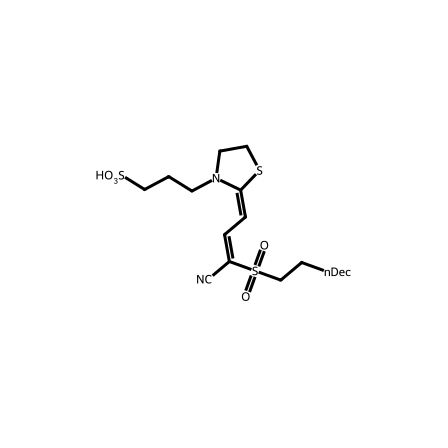 CCCCCCCCCCCCS(=O)(=O)C(C#N)=CC=C1SCCN1CCCS(=O)(=O)O